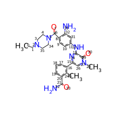 CCN1CCN(C(=O)c2ccc(Nc3nc(-c4cccc(C(N)=O)c4C)cn(C)c3=O)cc2N)CC1